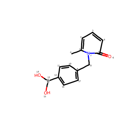 Cc1cccc(=O)n1Cc1ccc(B(O)O)cc1